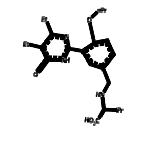 CCCOc1ccc(CNC(C(=O)O)C(C)C)cc1-c1nc(CC)c(CC)c(=O)[nH]1